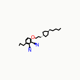 CCCCC[C@H]1CC[C@H](CCCOc2ccc(CCC)c(C#N)c2C#N)CC1